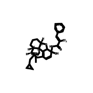 C[N+]1(CC2CC2)CC[C@]23C4=C5C=CC(O)(NC(=O)C(=Cc6ccccc6)C(F)(F)F)C4O[C@H]2CCC[C@H]3[C@H]1C5